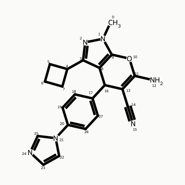 Cn1nc(C2CCC2)c2c1OC(N)=C(C#N)C2c1ccc(-n2ccnc2)cc1